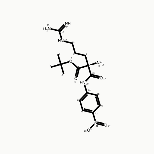 CC(C)(C)OC(=O)[C@](N)(CCCNC(=N)N)C(=O)Nc1ccc([N+](=O)[O-])cc1